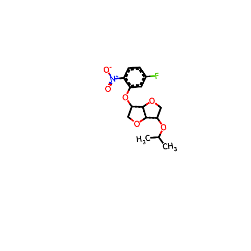 CC(C)OC1COC2C(Oc3cc(F)ccc3[N+](=O)[O-])COC12